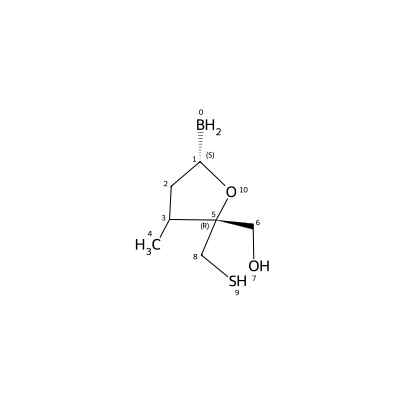 B[C@H]1CC(C)[C@@](CO)(CS)O1